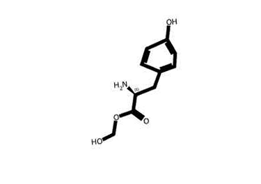 N[C@@H](Cc1ccc(O)cc1)C(=O)OCO